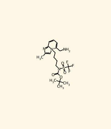 CC1=C[N+]2(CCCCN(C(=O)OC(C)(C)C)S(=O)(=O)C(F)(F)F)C(CN)=CC=CC2=N1